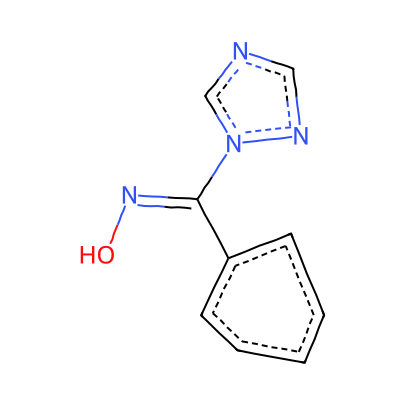 O/N=C(\c1ccccc1)n1cncn1